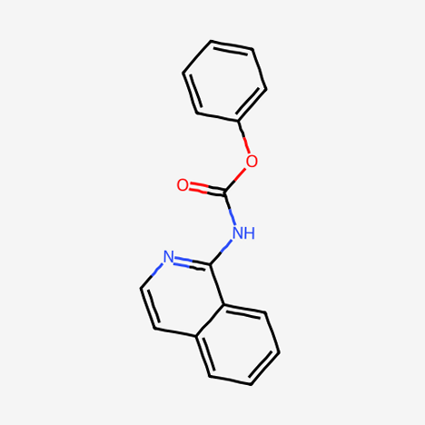 O=C(Nc1nccc2ccccc12)Oc1ccccc1